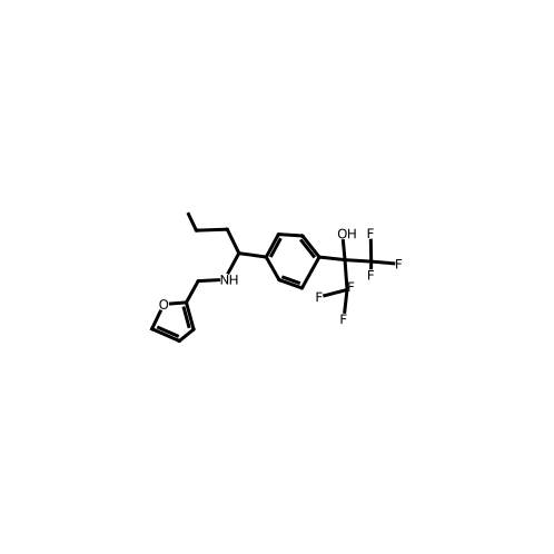 CCCC(NCc1ccco1)c1ccc(C(O)(C(F)(F)F)C(F)(F)F)cc1